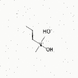 CCC[N+](C)(C)O.[OH-]